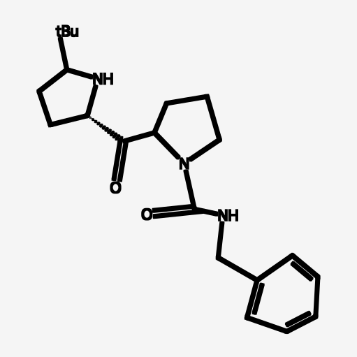 CC(C)(C)C1CC[C@@H](C(=O)C2CCCN2C(=O)NCc2ccccc2)N1